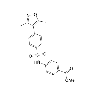 COC(=O)c1ccc(NS(=O)(=O)c2ccc(-c3c(C)noc3C)cc2)cc1